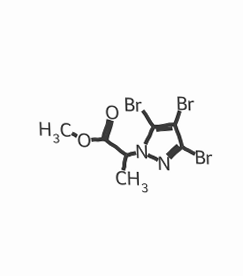 COC(=O)C(C)n1nc(Br)c(Br)c1Br